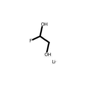 OCC(O)F.[Li]